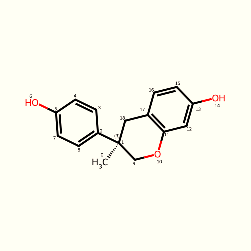 C[C@@]1(c2ccc(O)cc2)COc2cc(O)ccc2C1